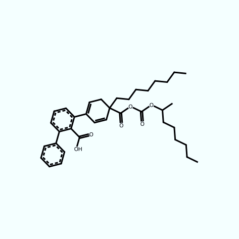 CCCCCCCCC1(C(=O)OC(=O)OC(C)CCCCCC)C=CC(c2cccc(-c3ccccc3)c2C(=O)O)=CC1